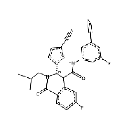 CC(C)CN1C(=O)c2ccc(F)cc2C(C(=O)Nc2cc(F)cc(C#N)c2)[C@H]1c1ccc(C#N)s1